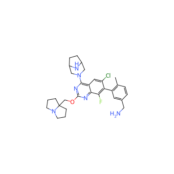 Cc1ccc(CN)cc1-c1c(Cl)cc2c(N3CC4CCC(C3)N4)nc(OCC34CCCN3CCC4)nc2c1F